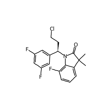 CC1(C)C(=O)N([C@H](CCCl)c2cc(F)cc(F)c2)c2c(F)cccc21